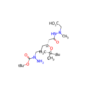 CN(CC(=O)O)NC(=O)C[C@@H](CCCN(N)C(=O)OC(C)(C)C)O[Si](C)(C)C(C)(C)C